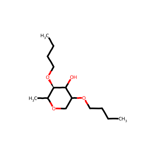 CCCCOC1COC(C)[C@@H](OCCCC)C1O